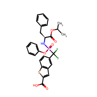 CC(C)OC(=O)[C@H](Cc1ccccc1)NP(=O)(Oc1ccccc1)C(F)(F)c1ccc2sc(C(=O)O)cc2c1